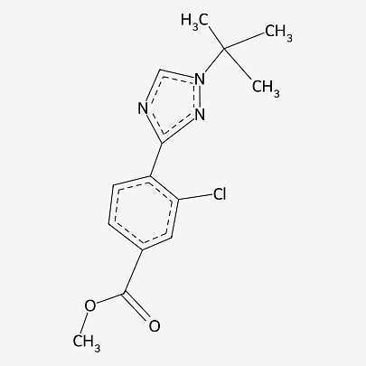 COC(=O)c1ccc(-c2ncn(C(C)(C)C)n2)c(Cl)c1